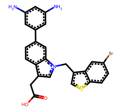 Nc1cc(N)cc(-c2ccc3c(CC(=O)O)cn(Cc4csc5ccc(Br)cc45)c3c2)c1